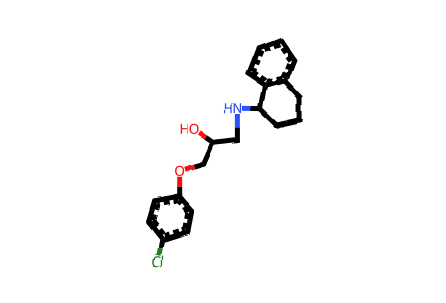 OC(CNC1CCCc2ccccc21)COc1ccc(Cl)cc1